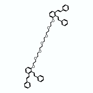 C(=Cc1cccc(OCCOCCOCCOCCOCCOCCOc2cccc(C=Cc3ccccc3)c2C=Cc2ccccc2)c1C=Cc1ccccc1)c1ccccc1